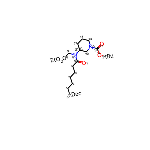 CCCCCCCCCCCCCCCC(=O)N(CC(=O)OCC)[C@H]1CCCN(C(=O)OC(C)(C)C)C1